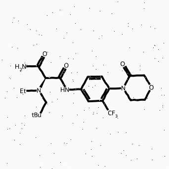 CCN(CC(C)(C)C)[C@@H](C(N)=O)C(=O)Nc1ccc(N2CCOCC2=O)c(C(F)(F)F)c1